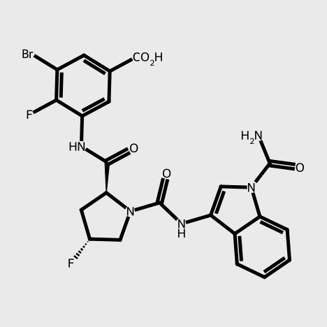 NC(=O)n1cc(NC(=O)N2C[C@H](F)C[C@H]2C(=O)Nc2cc(C(=O)O)cc(Br)c2F)c2ccccc21